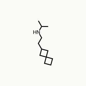 CC(C)NCCC1CC2(CCC2)C1